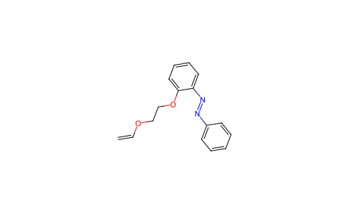 C=COCCOc1ccccc1N=Nc1ccccc1